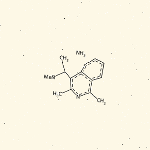 CNC(C)c1c(C)nc(C)c2ccccc12.N